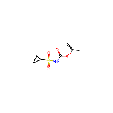 C=C(C)OC(=O)NS(=O)(=O)C1CC1